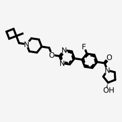 CC1(CN2CCC(COc3ncc(-c4ccc(C(=O)N5CC[C@H](O)C5)cc4F)cn3)CC2)CCC1